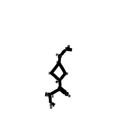 CC(C)NC(=O)N1CC(OC(C)(C)C)C1